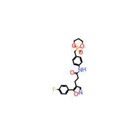 O=C(CCc1cnoc1-c1ccc(F)cc1)Nc1ccc(CP2(=O)OCCCO2)cc1